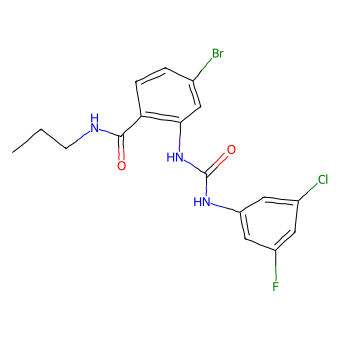 CCCNC(=O)c1ccc(Br)cc1NC(=O)Nc1cc(F)cc(Cl)c1